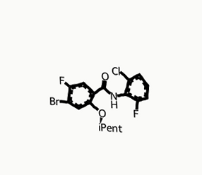 CCC[C@H](C)Oc1cc(Br)c(F)cc1C(=O)Nc1c(F)cccc1Cl